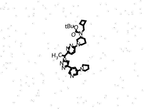 CC(c1ccc(N2CCC[C@@H](N(CC3CCC3)C(=O)OC(C)(C)C)C2)nn1)n1cc(-c2cncc(N3CCCC3)c2)nn1